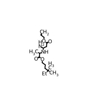 C=CCOC(=O)CC(N)NC(C)C(=O)OCCCC(C)(C)CC